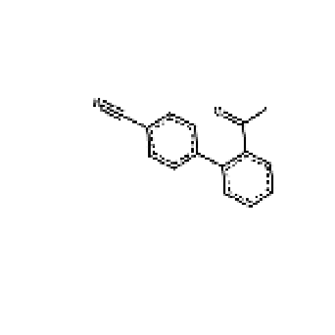 CC(=O)c1ccccc1-c1ccc(C#N)cc1